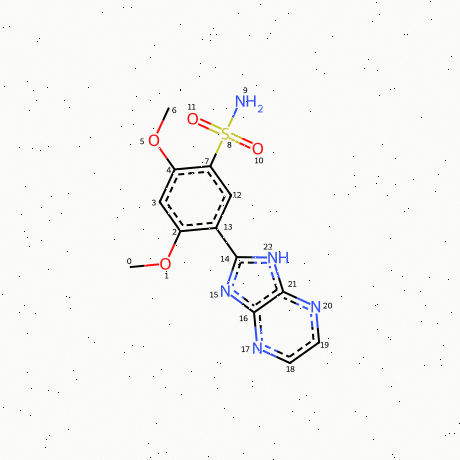 COc1cc(OC)c(S(N)(=O)=O)cc1-c1nc2nccnc2[nH]1